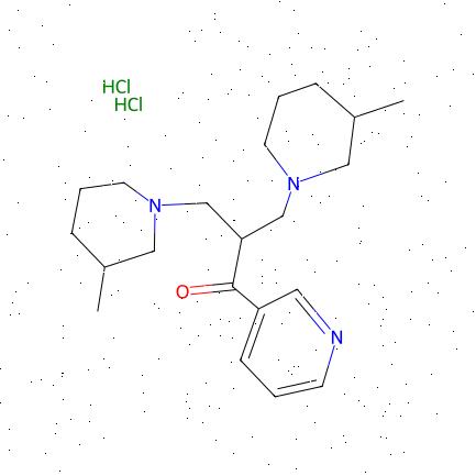 CC1CCCN(CC(CN2CCCC(C)C2)C(=O)c2cccnc2)C1.Cl.Cl